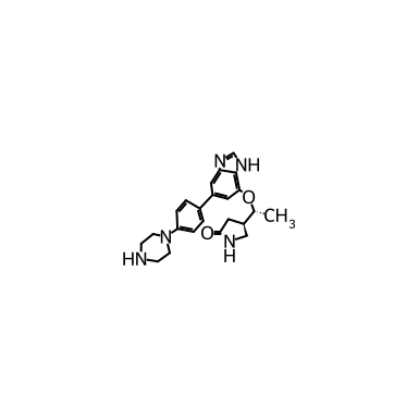 C[C@@H](Oc1cc(-c2ccc(N3CCNCC3)cc2)cc2nc[nH]c12)[C@H]1CNC(=O)C1